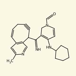 Cc1cc2c(cn1)C(C(=N)C1=C(NC3CCCCC3)C=CN(C=O)C1)C#CC/C=C\2